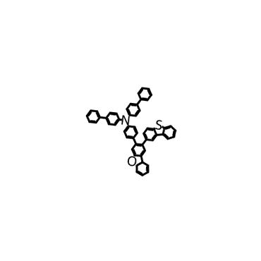 C1=CC2Oc3cc(-c4ccc(N(c5ccc(-c6ccccc6)cc5)c5ccc(-c6ccccc6)cc5)cc4)c(-c4ccc5sc6ccccc6c5c4)cc3C2C=C1